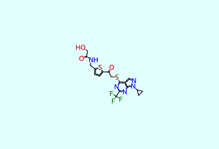 O=C(CO)NCc1ccc(C(=O)CSc2nc(C(F)(F)F)nc3c2cnn3C2CC2)s1